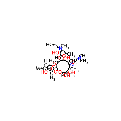 C#CCCN(C)[C@H]1C[C@@H](C)O[C@@H](O[C@@H]2[C@@H](C)[C@H](OC3C[C@@](C)(OC)[C@@H](O)[C@H](C)O3)[C@@H](C)C(=O)O[C@H](CC)[C@@](C)(O)[C@H](O)[C@@H](C)/C(=N/OCCN(C)C)[C@H](C)C[C@@]2(C)O)[C@@H]1O